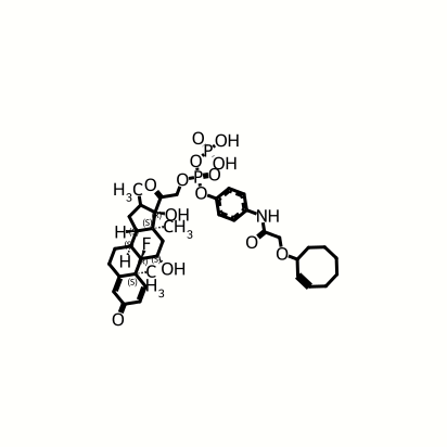 CC1C[C@H]2[C@@H]3CCC4=CC(=O)C=C[C@]4(C)[C@@]3(F)[C@@H](O)C[C@]2(C)[C@@]1(O)C(=O)COP(=O)(Oc1ccc(NC(=O)COC2C#CCCCCC2)cc1)OP(=O)(O)O